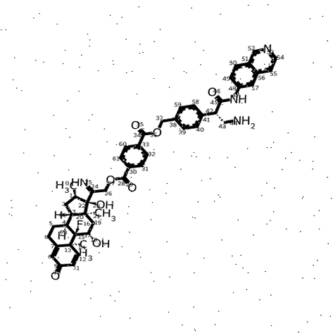 C[C@@H]1C[C@H]2[C@@H]3CCC4=CC(=O)C=C[C@]4(C)[C@@]3(F)[C@@H](O)C[C@]2(C)[C@@]1(O)C(=N)COC(=O)c1ccc(C(=O)OCc2ccc([C@@H](CN)C(=O)Nc3ccc4cnccc4c3)cc2)cc1